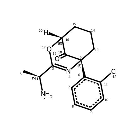 C[C@H](N)C1=N[C@@]2(c3ccccc3Cl)CCC[C@@H](O1)C2=O